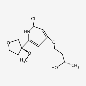 CO[C@@]1(C2=CC(OCC[C@H](C)O)=CC(Cl)N2)CCOC1